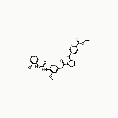 CCOC(=O)c1ccc(N(C)C2CCCN2C(=O)Cc2ccc(NC(=O)Nc3ccccc3Cl)c(OC)c2)cn1